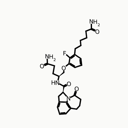 NC(=O)CCCCCc1cccc(OC[C@H](CCC(N)=O)NC(=O)[C@@H]2Cc3cccc4c3N2C(=O)CCC4)c1F